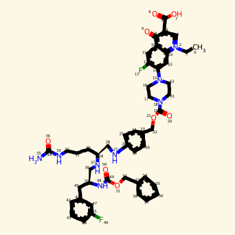 CCn1cc(C(=O)O)c(=O)c2cc(F)c(N3CCN(C(=O)OCc4ccc(NC[C@H](CCCNC(N)=O)NC[C@H](Cc5cccc(F)c5)NC(=O)OCc5ccccc5)cc4)CC3)cc21